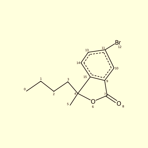 CCCCC1(C)OC(=O)c2cc(Br)ccc21